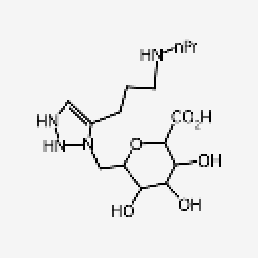 CCCNCCCC1=CNNN1CC1OC(C(=O)O)C(O)C(O)C1O